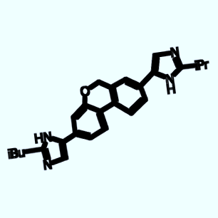 CCC(C)c1ncc(-c2ccc3c(c2)OCc2cc(-c4cnc(C(C)C)[nH]4)ccc2-3)[nH]1